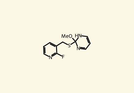 COC1(SCc2cccnc2F)N=CC=CN1